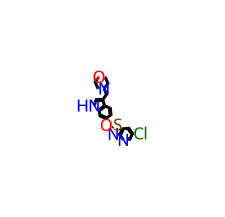 Clc1cnc2nc(Oc3ccc4c(CN5CCOCC5)c[nH]c4c3)sc2c1